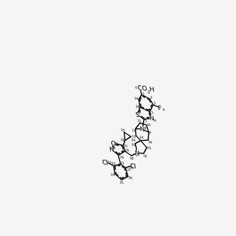 O=C(O)c1cc(F)c2nc(N3C4CCC3CC3(CCN(Cc5c(-c6c(Cl)cccc6Cl)noc5C5CC5)C3)C4)sc2c1